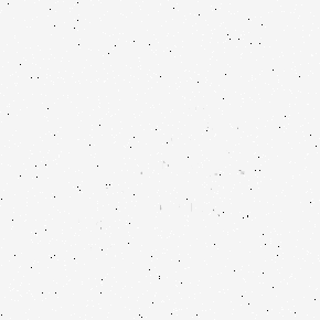 CCOC(=O)c1cn2cc(C3CCOC(C)(C)C3)cc(F)c2c1C1(C#N)CC1